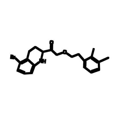 Cc1cccc(CCOCC(=O)C2CCc3c(Br)cccc3N2)c1C